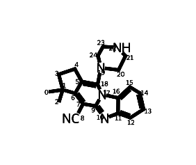 CC1(C)CCc2c1c(C#N)c1nc3ccccc3n1c2N1CCNCC1